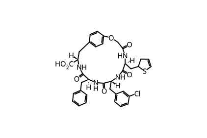 O=C1COc2ccc(cc2)C[C@@H](C(=O)O)NC(=O)[C@H](Cc2ccccc2)NC(=O)[C@@H](Cc2cccc(Cl)c2)NC(=O)[C@H](CC2CC=CS2)N1